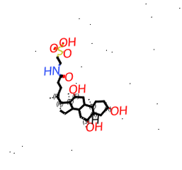 C[C@H](CCC(=O)NCCS(=O)(=O)O)[C@H]1CCC2C3C[C@H](O)[C@@H]4C[C@H](O)CC[C@]4(C)C3C[C@H](O)[C@@]21C